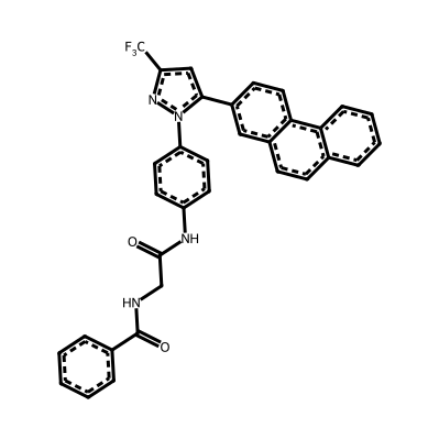 O=C(CNC(=O)c1ccccc1)Nc1ccc(-n2nc(C(F)(F)F)cc2-c2ccc3c(ccc4ccccc43)c2)cc1